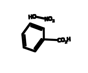 O=C(O)c1ccccc1.O=[N+]([O-])O